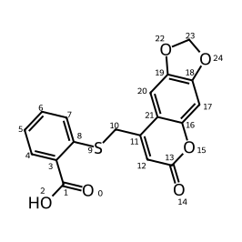 O=C(O)c1ccccc1SCc1cc(=O)oc2cc3c(cc12)OCO3